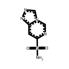 NS(=O)(=O)c1cc2nncn2cn1